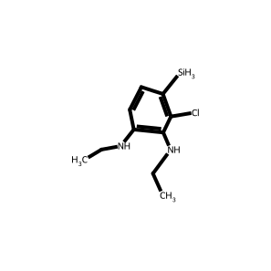 CCNc1ccc([SiH3])c(Cl)c1NCC